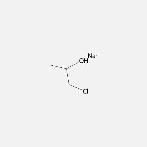 CC(O)CCl.[Na]